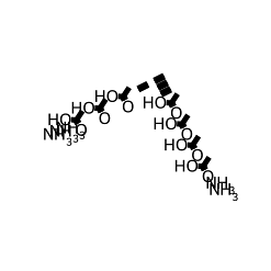 C=C.C=C.C=C.C=C.CC(=O)O.CC(=O)O.CC(=O)O.CC(=O)O.CC(=O)O.CC(=O)O.CC(=O)O.N.N.N.N.N